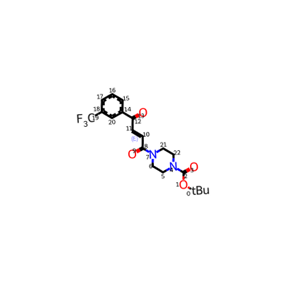 CC(C)(C)OC(=O)N1CCN(C(=O)/C=C/C(=O)c2cccc(C(F)(F)F)c2)CC1